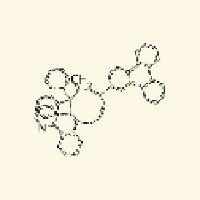 C=C1/C=C(c2ccc3c4ccccc4c4ccccc4c3c2)\C=C/Cc2c(c3cccnc3c3ccccc23)C1(c1ccccc1)c1ccccc1